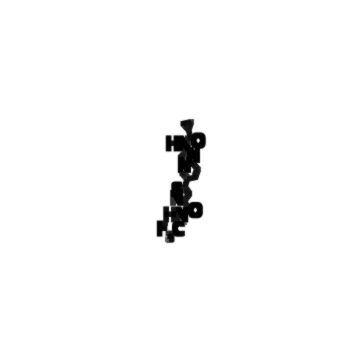 O=C(NCC(F)(F)F)c1cc(-c2ccc3nc(NC(=O)C4CC4)cn3c2)sn1